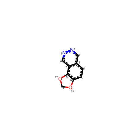 c1cc2cnncc2c2c1OCO2